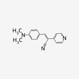 CN(C)c1ccc(/C=C(\C#N)c2ccncc2)cc1